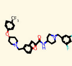 O=C(NC1CCN(Cc2cc(F)cc(F)c2)CC1)c1cc2cc(CN3CCC(Oc4ccc(C(F)(F)F)cc4)CC3)ccc2o1